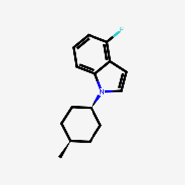 C[C@H]1CC[C@@H](n2ccc3c(F)cccc32)CC1